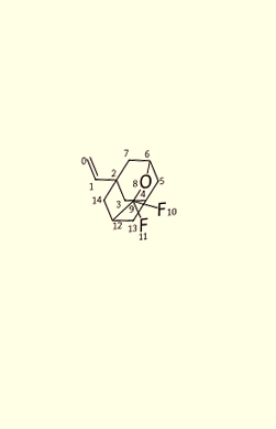 C=CC12CC3CC(C1)OC(F)(F)C(C3)C2